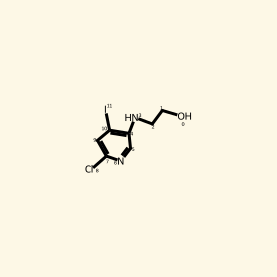 OCCNc1cnc(Cl)cc1I